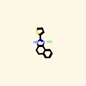 Cl.c1csc(-c2nc3c([nH]2)CCc2ccccc2-3)c1